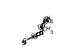 CCC(COC(=O)[C@@H](C)c1ccc2cc(OC(=O)CCCC[C@@H]3CCSS3)ccc2c1)O[N+](=O)[O-]